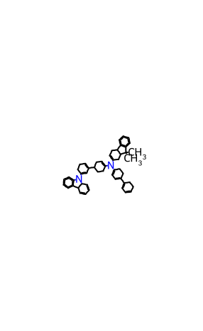 CC1(C)c2ccccc2C2CC=C(N(C3=CC=C(C4=CC=CCC4)CC3)C3=CCC(C4=CCCC(N5c6ccccc6C6C=CC=CC65)=C4)CC3)CC21